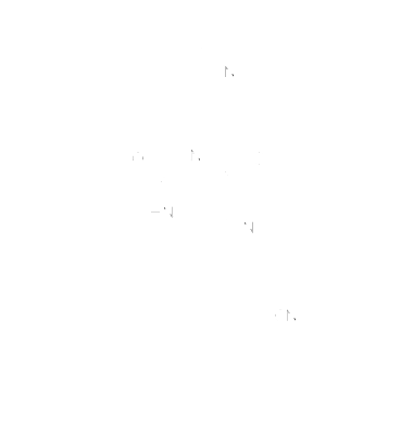 N#Cc1ccccc1-c1cnc2c(=O)n(-c3cncc4ccccc34)c(=O)[nH]c2c1